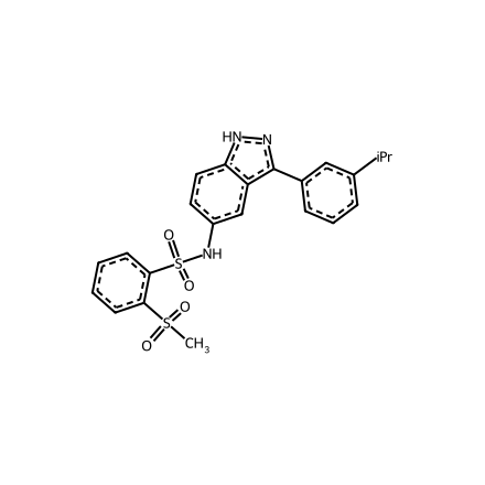 CC(C)c1cccc(-c2n[nH]c3ccc(NS(=O)(=O)c4ccccc4S(C)(=O)=O)cc23)c1